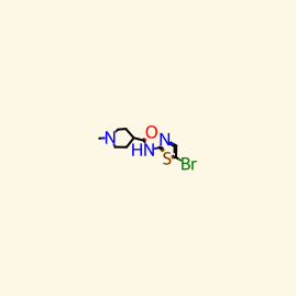 CN1CCC(C(=O)Nc2ncc(Br)s2)CC1